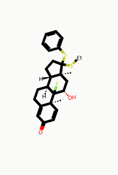 CCSC1(Sc2ccccc2)CC[C@H]2[C@@H]3CCC4=CC(=O)C=C[C@]4(C)C3(F)[C@@H](O)C[C@@]21C